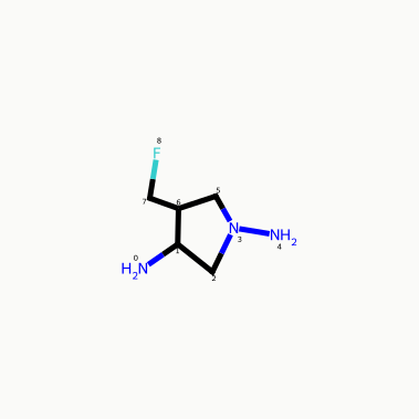 NC1CN(N)CC1CF